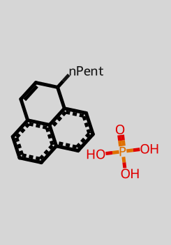 CCCCCC1C=Cc2cccc3cccc1c23.O=P(O)(O)O